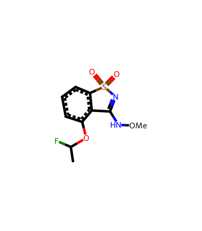 CONC1=NS(=O)(=O)c2cccc(OC(C)F)c21